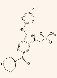 CS(=O)(=O)Cn1nc(Nc2ccc(Cl)cn2)c2cnc(C(=O)N3CCCOCC3)cc21